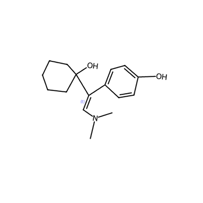 CN(C)/C=C(\c1ccc(O)cc1)C1(O)CCCCC1